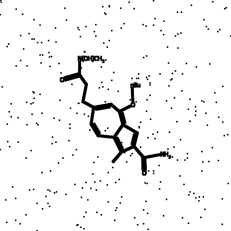 CCCCOc1cc(CCC(=O)N(C)O)ccc2c(C)c(C(N)=O)cc1-2